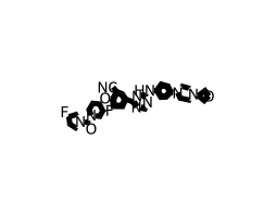 N#Cc1cc(-c2ncnc(Nc3ccc(N4CCN(C5COC5)CC4)cc3)n2)ccc1O[C@H]1CCN(C(=O)N2CCC(F)C2)C[C@H]1F